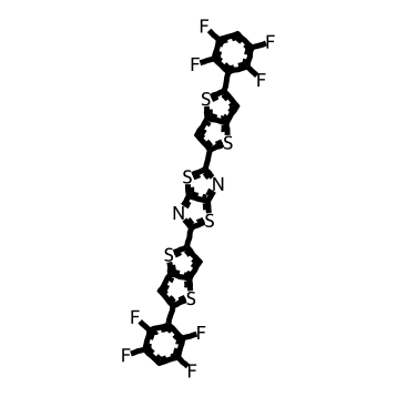 Fc1cc(F)c(F)c(-c2cc3sc(-c4nc5sc(-c6cc7sc(-c8c(F)c(F)cc(F)c8F)cc7s6)nc5s4)cc3s2)c1F